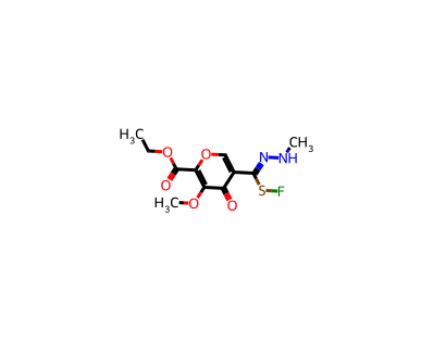 CCOC(=O)c1occ(/C(=N/NC)SF)c(=O)c1OC